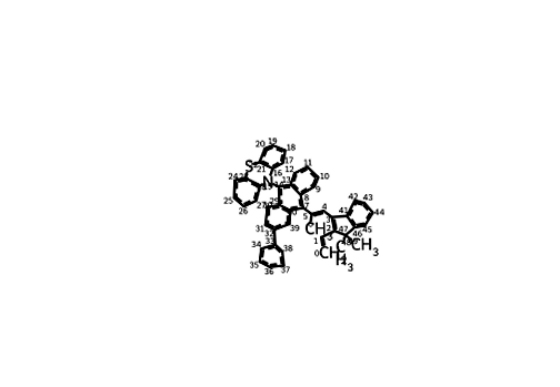 C=CC1=C(/C=C(\C)c2c3ccccc3c(N3c4ccccc4Sc4ccccc43)c3ccc(-c4ccccc4)cc23)c2ccccc2C1(C)C